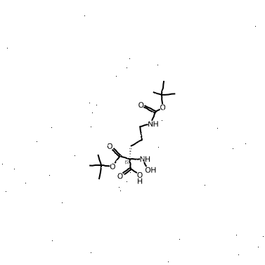 CC(C)(C)OC(=O)NCCC[C@](NO)(C(=O)O)C(=O)OC(C)(C)C